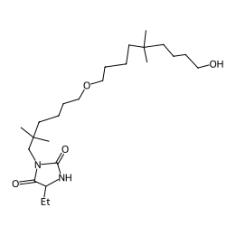 CCC1NC(=O)N(CC(C)(C)CCCCOCCCCC(C)(C)CCCCO)C1=O